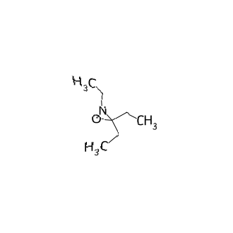 CCN1OC1(CC)CC